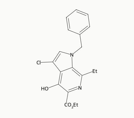 CCOC(=O)c1nc(CC)c2c(c(Cl)cn2Cc2ccccc2)c1O